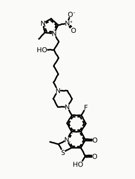 Cc1ncc([N+](=O)[O-])n1CC(O)CCCCN1CCN(c2cc3c(cc2F)c(=O)c(C(=O)O)c2n3C(C)S2)CC1